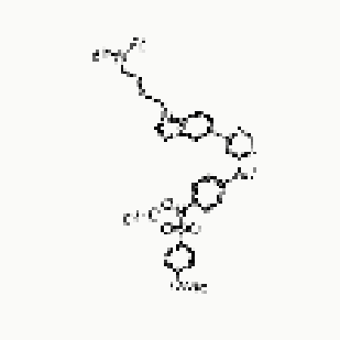 CCN(CC)CCCCn1ccc2cc(-c3cc(Nc4ccc(N(OC=O)S(=O)(=O)c5ccc(OC)cc5)cc4)ncn3)ccc21